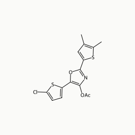 CC(=O)Oc1nc(-c2cc(C)c(C)s2)oc1-c1ccc(Cl)s1